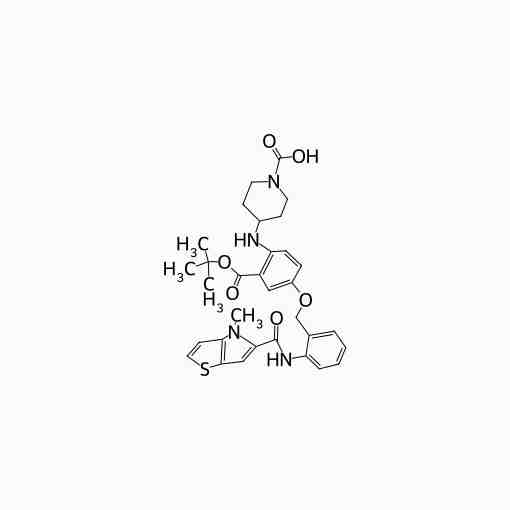 Cn1c(C(=O)Nc2ccccc2COc2ccc(NC3CCN(C(=O)O)CC3)c(C(=O)OC(C)(C)C)c2)cc2sccc21